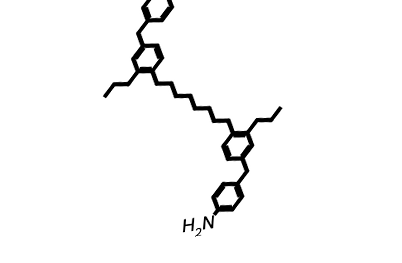 CCCc1cc(Cc2ccc(N)cc2)ccc1CCCCCCCCc1ccc(Cc2ccc(N)cc2)cc1CCC